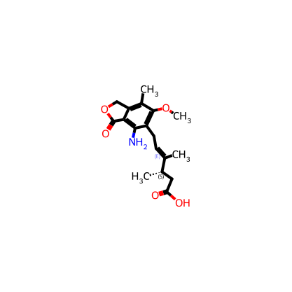 COc1c(C)c2c(c(N)c1C/C=C(\C)[C@@H](C)CC(=O)O)C(=O)OC2